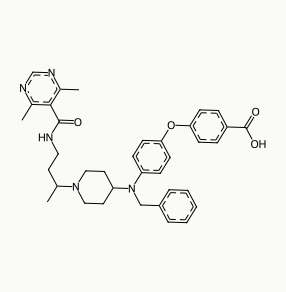 Cc1ncnc(C)c1C(=O)NCCC(C)N1CCC(N(Cc2ccccc2)c2ccc(Oc3ccc(C(=O)O)cc3)cc2)CC1